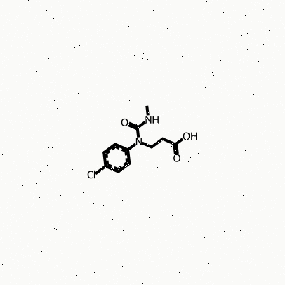 CNC(=O)N(CCC(=O)O)c1ccc(Cl)cc1